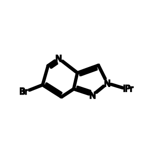 CC(C)n1cc2ncc(Br)cc2n1